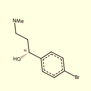 CNCC[C@@H](O)c1ccc(Br)cc1